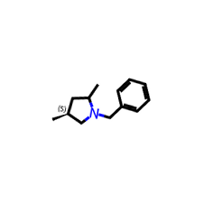 CC1C[C@H](C)CN1Cc1ccccc1